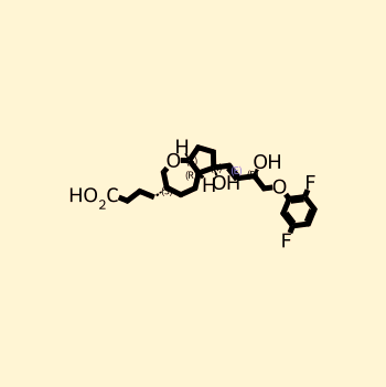 O=C(O)CCC[C@H]1CC[C@@H]2[C@H](CC[C@@]2(O)/C=C/[C@@H](O)COc2cc(F)ccc2F)OC1